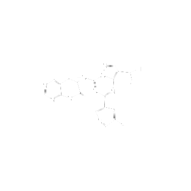 CC(C)c1cnn2c(N[C@@H]3Cc4cncnc4NC3=O)nc(-c3cncc(F)c3)nc12